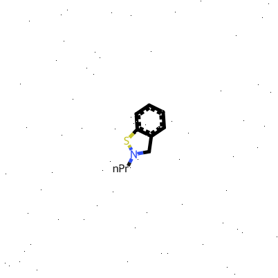 CCCN1Cc2ccccc2S1